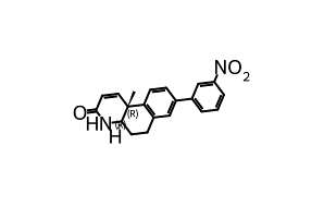 C[C@]12C=CC(=O)N[C@@H]1CCc1cc(-c3cccc([N+](=O)[O-])c3)ccc12